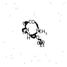 CCS(=O)(=O)CCOc1ccc2cc1CN(C)C/C=C/COCc1coc(c1)-c1ccnc(n1)N2